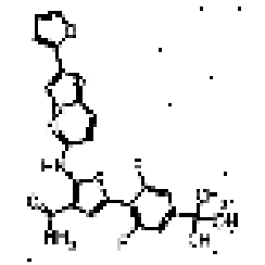 CC(C)(O)c1cc(F)c(-c2cc(C(N)=O)c(Nc3ccc4nc(-c5ccco5)cn4n3)s2)c(F)c1